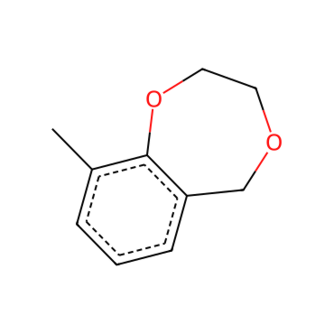 Cc1cccc2c1OCCOC2